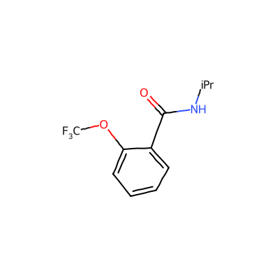 CC(C)NC(=O)c1ccccc1OC(F)(F)F